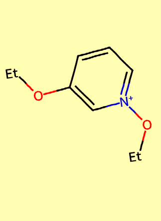 CCOc1ccc[n+](OCC)c1